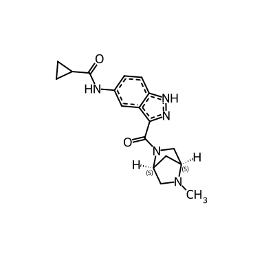 CN1C[C@@H]2C[C@H]1CN2C(=O)c1n[nH]c2ccc(NC(=O)C3CC3)cc12